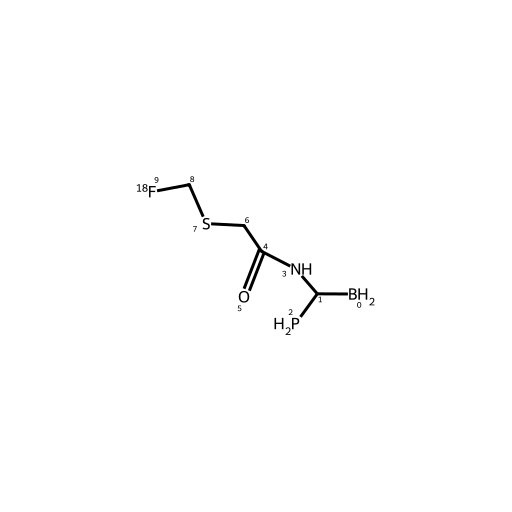 BC(P)NC(=O)CSC[18F]